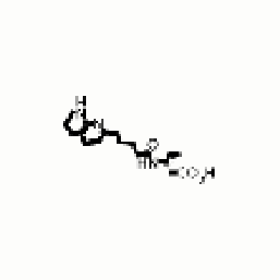 C=C[C@H](CC(=O)O)NC(=O)CCCCc1ccc2c(n1)NCCC2